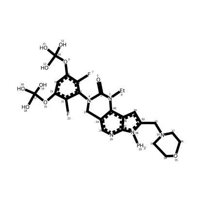 CCN1C(=O)N(c2c(F)c(OC(O)(O)O)cc(OC(O)(O)O)c2F)Cc2cnc3c(cc(CN4CCOCC4)n3P)c21